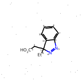 CCC1(CC(=O)O)N=Nc2ccccc21